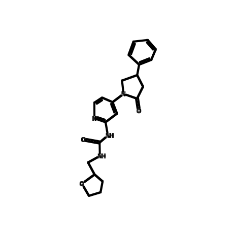 O=C(NCC1CCCO1)Nc1cc(N2CC(c3ccccc3)CC2=O)ccn1